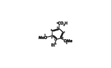 CCc1c(OC)cc(C(=O)O)cc1OC